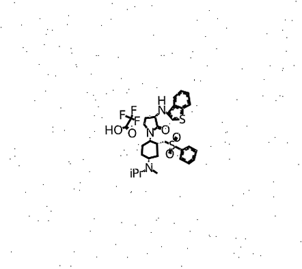 CC(C)N(C)[C@@H]1CC[C@H](N2CCC(Nc3csc4ccccc34)C2=O)[C@H](CS(=O)(=O)c2ccccc2)C1.O=C(O)C(F)(F)F